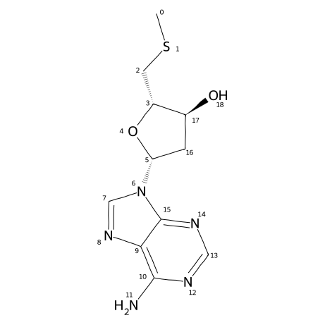 CSC[C@H]1O[C@@H](n2cnc3c(N)ncnc32)C[C@@H]1O